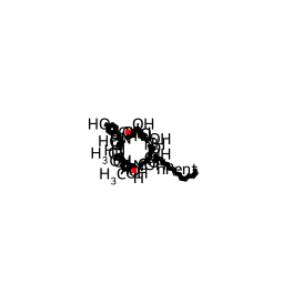 CCCCC/C=C\C/C=C\CCCCCCCC(=O)NC1C[C@@H](O)CNC(=O)[C@@H]2[C@@H](O)[C@@H](C)CN2C(=O)[C@H]([C@@H](C)O)NC(=O)[C@H]([C@H](O)[C@@H](O)c2ccc(O)cc2)NC(=O)[C@@H]2C[C@@H](O)CN2C(=O)[C@H]([C@H](O)I)NC1=O